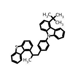 CC(Cc1ccc(-n2c3ccccc3c3c(C(C)(C)C)cccc32)cc1)c1cccc2sc3ccccc3c12